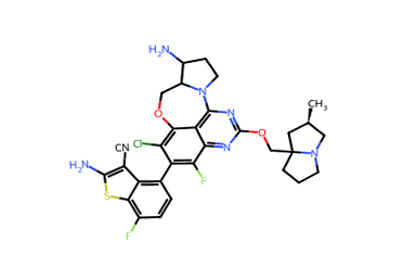 C[C@H]1CN2CCCC2(COc2nc3c4c(c(Cl)c(-c5ccc(F)c6sc(N)c(C#N)c56)c(F)c4n2)OCC2C(N)CCN32)C1